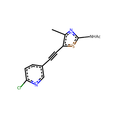 CC(=O)Nc1nc(C)c(C#Cc2ccc(Cl)nc2)s1